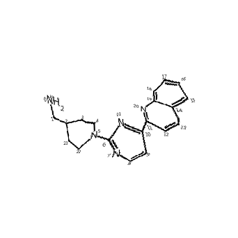 NCC1CCN(c2nccc(-c3ccc4ccccc4n3)n2)CC1